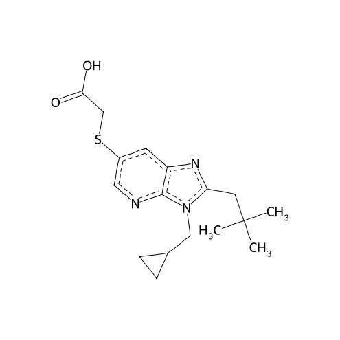 CC(C)(C)Cc1nc2cc(SCC(=O)O)cnc2n1CC1CC1